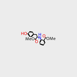 COC(=O)c1ccccc1NC(Cc1ccc(O)cc1)C(=O)OC